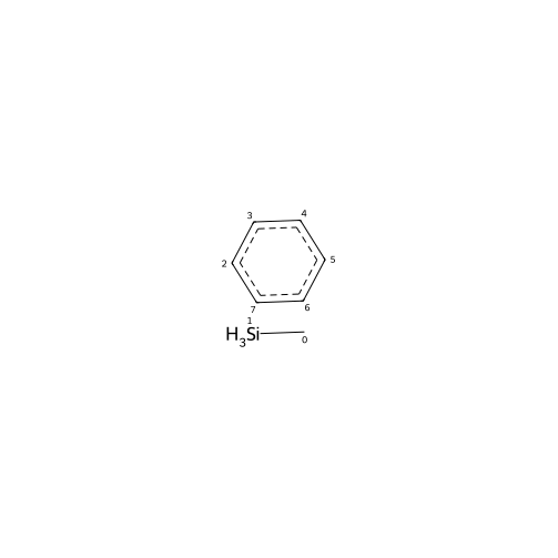 C[SiH3].c1ccccc1